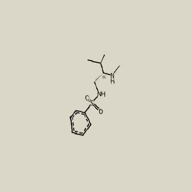 CN[C@H](CNS(=O)(=O)c1ccccc1)C(C)C